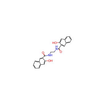 O=C(NCCNC(=O)c1cc2ccccc2cc1O)c1cc2ccccc2cc1O